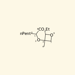 CCCCCC(OC1(C)COC1)C(=O)OCC